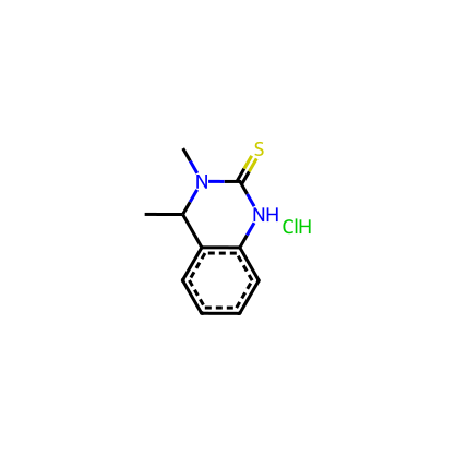 CC1c2ccccc2NC(=S)N1C.Cl